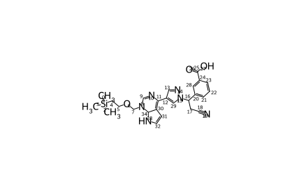 C[Si](C)(C)CCOCN1C=NC(c2cnn(C(CC#N)c3cccc(C(=O)O)c3)c2)=C2C=CNC21